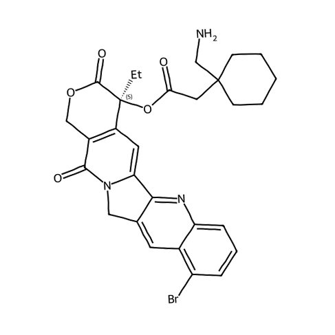 CC[C@@]1(OC(=O)CC2(CN)CCCCC2)C(=O)OCc2c1cc1n(c2=O)Cc2cc3c(Br)cccc3nc2-1